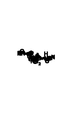 COc1c(C(=O)c2ccccc2OCCCNC(=O)OC(C)(C)C)ccc(C(=O)N(C)c2ccc(C)cc2OCCCCNC(=O)N2CCC(N(C)C)CC2)c1N